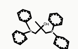 CC(O)(CP(c1ccccc1)c1ccccc1)CP(c1ccccc1)c1ccccc1